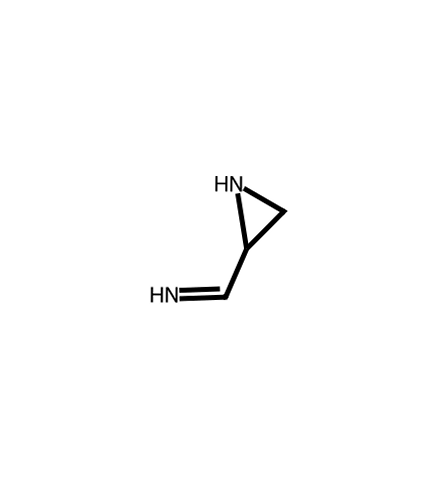 N=CC1CN1